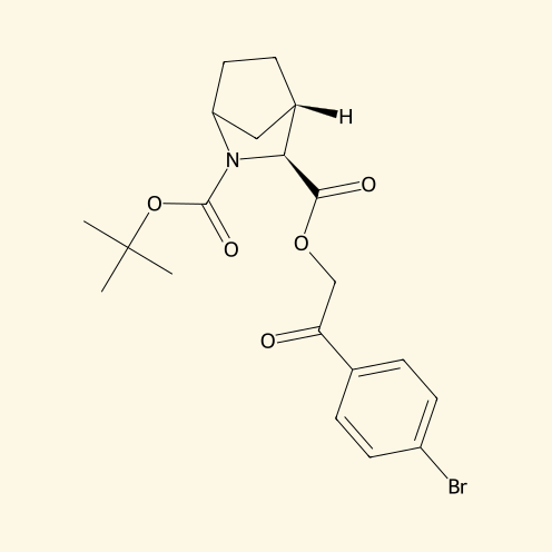 CC(C)(C)OC(=O)N1C2CC[C@@H](C2)[C@H]1C(=O)OCC(=O)c1ccc(Br)cc1